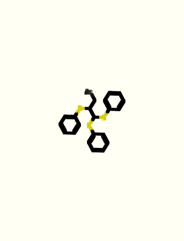 CC(=O)CC(Sc1ccccc1)C(Sc1ccccc1)Sc1ccccc1